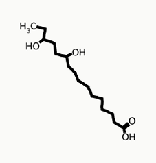 CCC(O)CCC(O)CCCCCCCCCC(=O)O